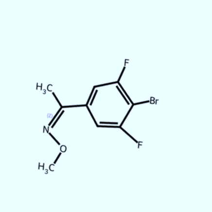 CO/N=C(/C)c1cc(F)c(Br)c(F)c1